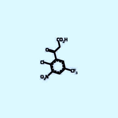 O=C(O)CC(=O)c1cc(C(F)(F)F)cc([N+](=O)[O-])c1Cl